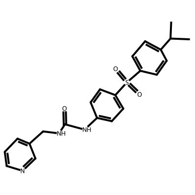 CC(C)c1ccc(S(=O)(=O)c2ccc(NC(=O)NCc3cccnc3)cc2)cc1